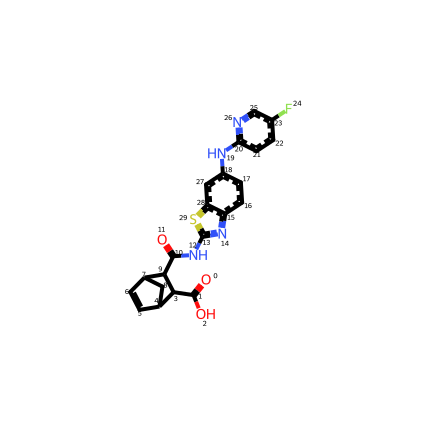 O=C(O)C1C2C=CC(C2)C1C(=O)Nc1nc2ccc(Nc3ccc(F)cn3)cc2s1